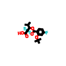 CC(C)C(OC(=O)c1ccc(F)cc1OC(C)(C)C)C(F)(F)C(=O)O